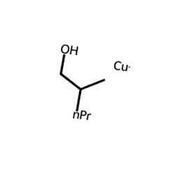 CCCC(C)CO.[Cu]